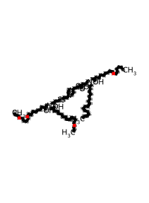 CC/C=C\C/C=C\C/C=C\CCCCCCC(O)CN(CCCC(=O)OCCN1CCN(CCSSCCCCN(CC(O)CCCCCC/C=C\C/C=C\CCCCC)CC(O)CCCCCC/C=C\C/C=C\CCCCC)CC1)CC(O)CCCCCC/C=C\C/C=C\C/C=C\CC